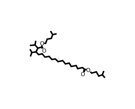 CC(C)CCCOC(=O)CCCCCCCCCCCCCCC(C(C)C)C(C(=O)OCCCC(C)C)C(C)C